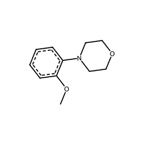 COc1ccccc1N1CCOCC1